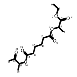 CCOC(=O)C(C)OC(=O)CCCCC(=O)OC(C)C(C)=O